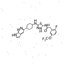 O=C(Cc1cc(OC(F)(F)F)ccc1F)NC1NN=C(NC2CCC(c3cc4cc[nH]c4nn3)CC2)S1